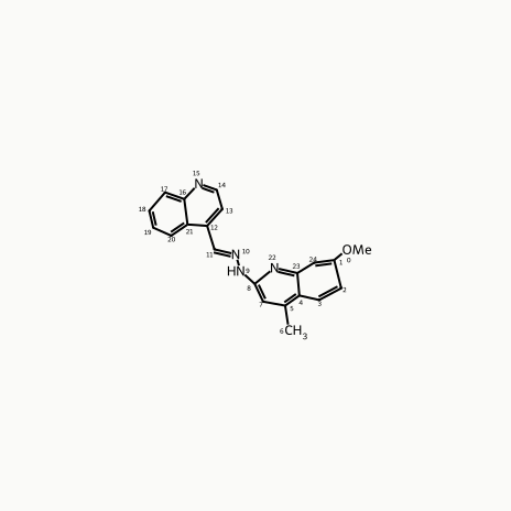 COc1ccc2c(C)cc(N/N=C/c3ccnc4ccccc34)nc2c1